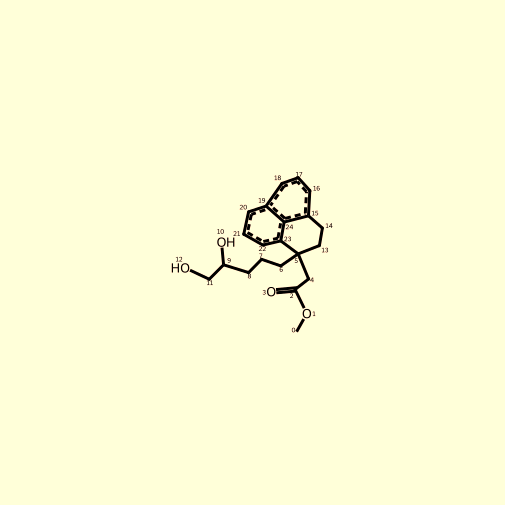 COC(=O)CC1(CCCC(O)CO)CCc2cccc3cccc1c23